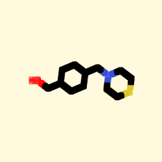 OCC1CCC(CN2CCSCC2)CC1